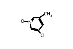 Cc1cc(Cl)c[n+]([O-])c1